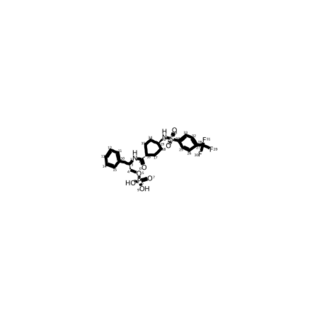 O=C(N[C@H](COP(=O)(O)O)c1ccccc1)[C@H]1CC[C@H](NS(=O)(=O)c2ccc(C(F)(F)F)cc2)CC1